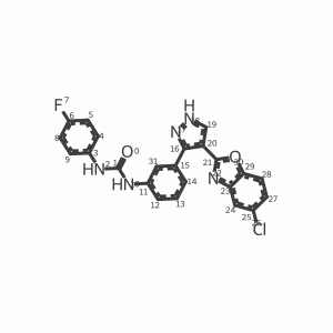 O=C(Nc1ccc(F)cc1)Nc1cccc(-c2n[nH]cc2-c2nc3cc(Cl)ccc3o2)c1